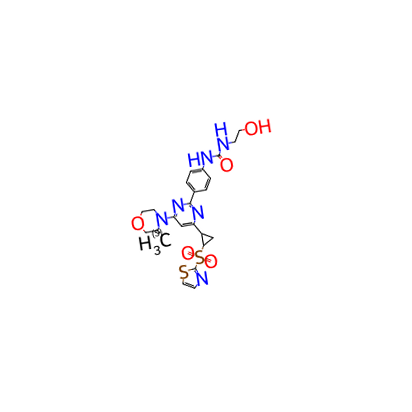 C[C@H]1COCCN1c1cc(C2CC2S(=O)(=O)c2nccs2)nc(-c2ccc(NC(=O)NCCO)cc2)n1